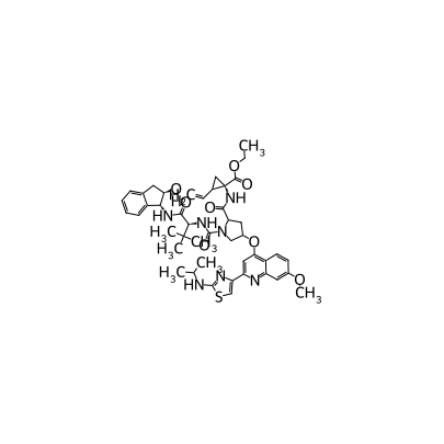 C=CC1C[C@]1(NC(=O)C1CC(Oc2cc(-c3csc(NC(C)C)n3)nc3cc(OC)ccc23)CN1C(=O)N[C@H](C(=O)N[C@H]1c2ccccc2C[C@H]1O)C(C)(C)C)C(=O)OCC